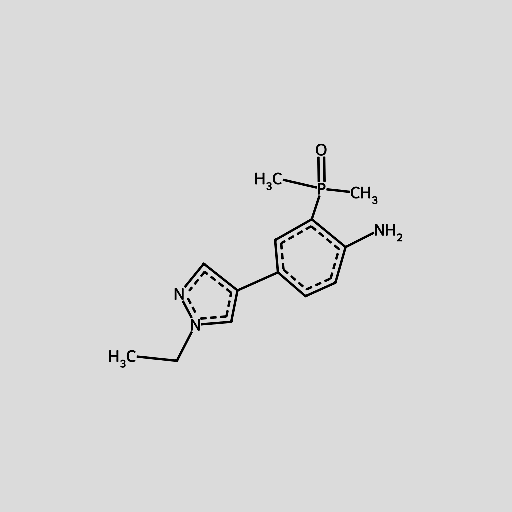 CCn1cc(-c2ccc(N)c(P(C)(C)=O)c2)cn1